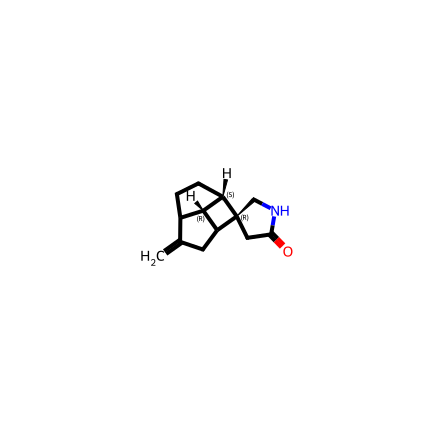 C=C1CC2[C@@H]3C1CC[C@@H]3[C@@]21CNC(=O)C1